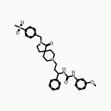 COc1cccc(NC(=O)NC(CCN2CCC3(CC2)CCN(Cc2ccc(S(C)(=O)=O)cc2)C3=O)c2ccccc2)c1